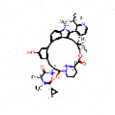 CCn1c(-c2cccnc2[C@H](C)OC)c2c3cc(ccc31)-c1cc(O)cc(c1)C[C@H](NC(=O)[C@H](C(C)C)N(C)C(=O)[C@@H]1C[C@@H]1F)C(=O)N1CCC[C@H](N1)C(=O)OCC(C)(C)C2